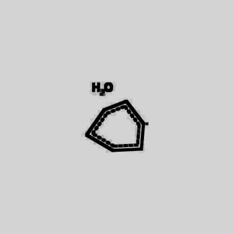 O.[c]1ccccc1